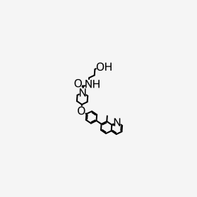 Cc1c(-c2ccc(OC3CCN(C(=O)NCCCO)CC3)cc2)ccc2cccnc12